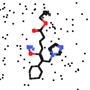 CCOC(=O)CCCC(ON)=C(Cn1ccnc1)C1CCCCC1